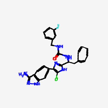 Nc1n[nH]c2cc(-c3nc(C(Cc4ccccc4)NC(=O)NCc4cccc(F)c4)[nH]c3Cl)ccc12